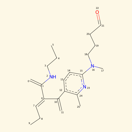 C=C(NCCC)/C(=C/CC)C(=C)c1ccc(N(C)CCCC=O)nc1C